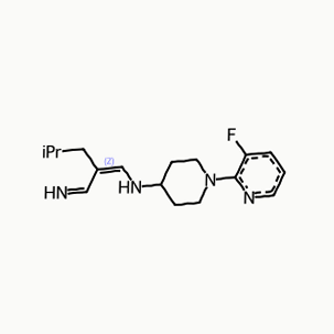 CC(C)C/C(C=N)=C/NC1CCN(c2ncccc2F)CC1